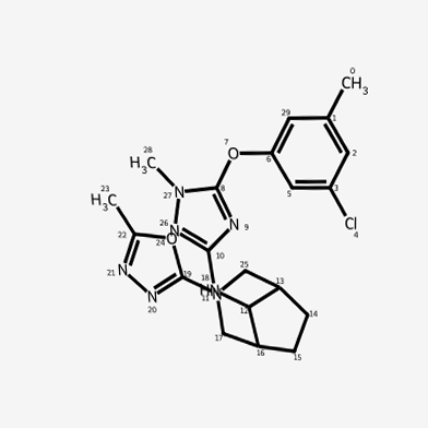 Cc1cc(Cl)cc(Oc2nc(NC3C4CCC3CN(c3nnc(C)o3)C4)nn2C)c1